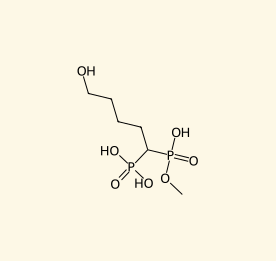 COP(=O)(O)C(CCCCO)P(=O)(O)O